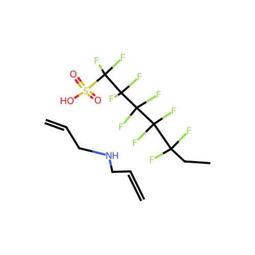 C=CCNCC=C.CCC(F)(F)C(F)(F)C(F)(F)C(F)(F)C(F)(F)S(=O)(=O)O